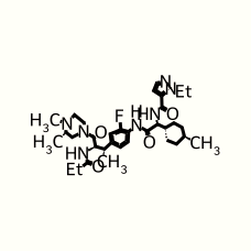 CCC(=O)N[C@@H](C(=O)N1CCN(C)[C@@H](C)C1)[C@@H](C)c1ccc(NC(=O)[C@@H](NC(=O)c2ccnn2CC)[C@H]2CC[C@H](C)CC2)c(F)c1